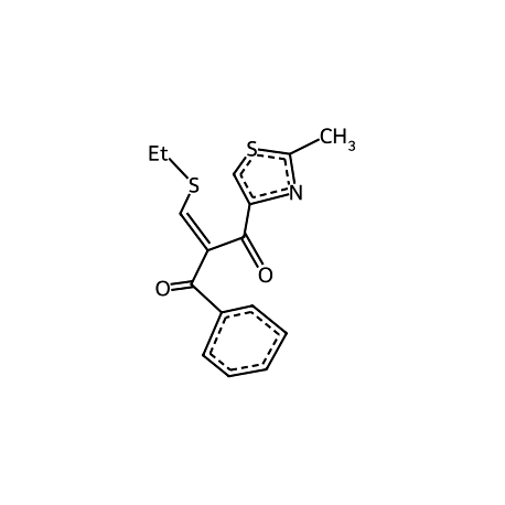 CCSC=C(C(=O)c1ccccc1)C(=O)c1csc(C)n1